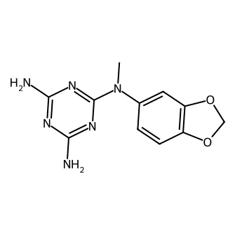 CN(c1ccc2c(c1)OCO2)c1nc(N)nc(N)n1